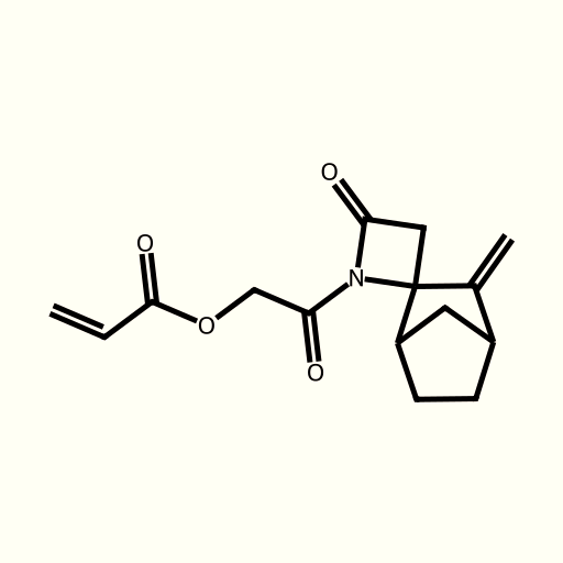 C=CC(=O)OCC(=O)N1C(=O)CC12C(=C)C1CCC2C1